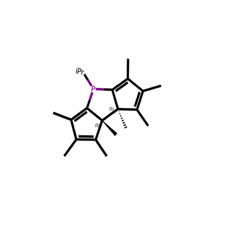 CC1=C(C)[C@]2(C)C(=C1C)P(C(C)C)C1=C(C)C(C)=C(C)[C@]12C